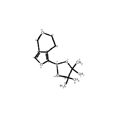 CC1(C)OB(c2occ3c2CCOC3)OC1(C)C